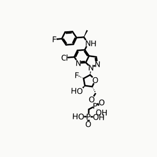 C[C@@H](Nc1cc(Cl)nc2c1cnn2[C@@H]1O[C@H](COP(=O)(O)CP(=O)(O)O)[C@@H](O)[C@@H]1F)c1ccc(F)cc1